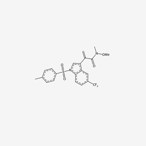 C=C(C(=O)N(C)OC)c1cn(S(=O)(=O)c2ccc(C)cc2)c2ccc(C(F)(F)F)cc12